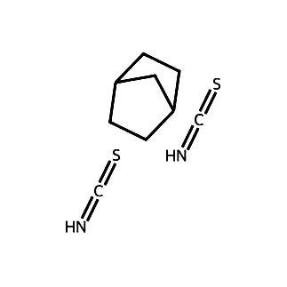 C1CC2CCC1C2.N=C=S.N=C=S